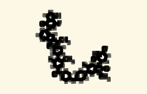 Cc1cc(C(=O)N2CCC(CN3CCN(c4cc5c(cc4F)n(C4CCC(=O)NC4=O)c(=O)n5C)CC3)CC2)cc(F)c1C1=CCN([C@@H](C)c2cc3c(-n4cc(F)c5c(c4=O)CCN5)ccnc3n2C)CC1